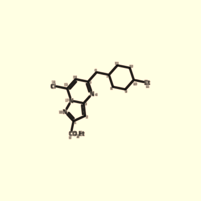 CCOC(=O)c1cc2nc(CC3CCC(CC)CC3)cc(Cl)n2n1